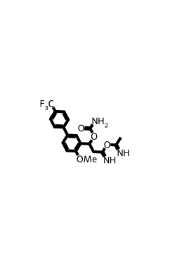 COc1ccc(-c2ccc(C(F)(F)F)cc2)cc1C(CC(=N)OC(C)=N)OC(N)=O